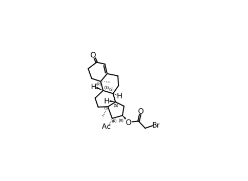 CC(=O)[C@H]1[C@H](OC(=O)CBr)C[C@H]2[C@@H]3CCC4=CC(=O)CC[C@]4(C)[C@H]3CC[C@@]21C